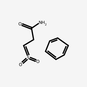 NC(=O)CC=S(=O)=O.c1ccccc1